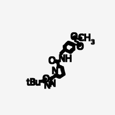 CC(C)(C)c1nnc(-c2cccc(C(=O)NCc3ccc(S(C)(=O)=O)cc3)n2)o1